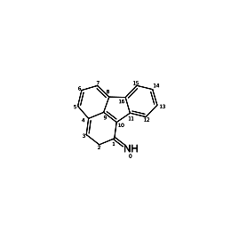 N=C1CC=c2cccc3c2=C1c1ccccc1-3